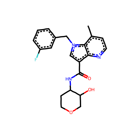 Cc1ccnc2c(C(=O)NC3CCOCC3O)cn(Cc3cccc(F)c3)c12